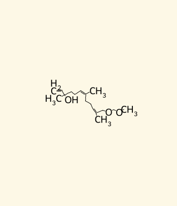 C=CC(C)(O)CCC=C(C)CCC=C(C)COCOC